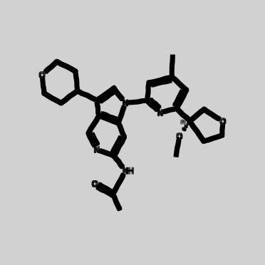 CO[C@@]1(c2cc(C)cc(-n3cc(C4CCOCC4)c4cnc(NC(C)=O)cc43)n2)CCOC1